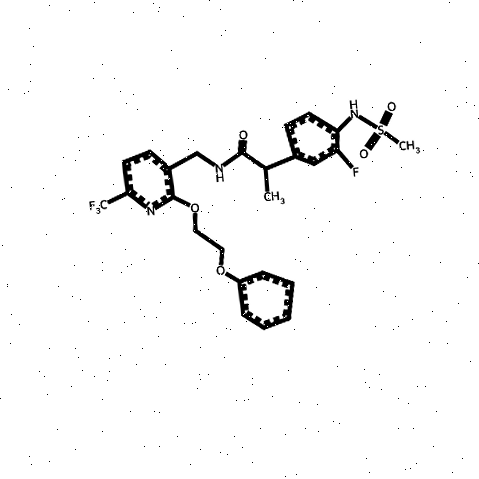 CC(C(=O)NCc1ccc(C(F)(F)F)nc1OCCOc1ccccc1)c1ccc(NS(C)(=O)=O)c(F)c1